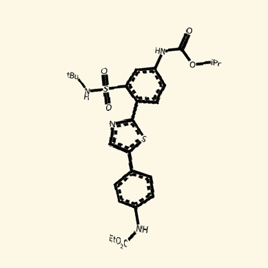 CCOC(=O)Nc1ccc(-c2cnc(-c3ccc(NC(=O)OC(C)C)cc3S(=O)(=O)NC(C)(C)C)s2)cc1